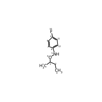 CCC(C)ONc1ccc(F)cc1